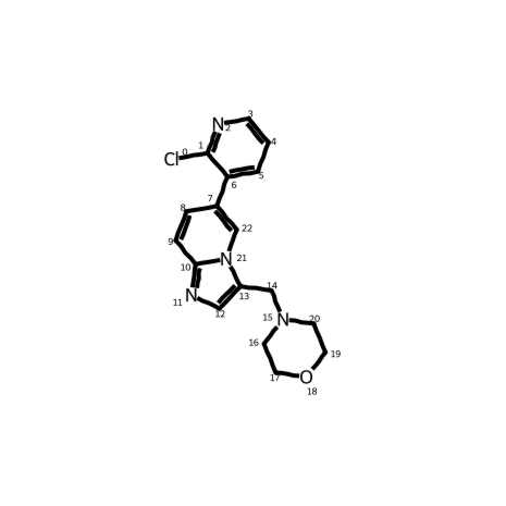 Clc1ncccc1-c1ccc2ncc(CN3CCOCC3)n2c1